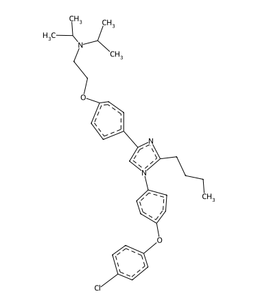 CCCCc1nc(-c2ccc(OCCN(C(C)C)C(C)C)cc2)cn1-c1ccc(Oc2ccc(Cl)cc2)cc1